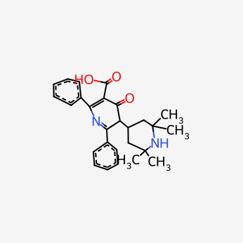 CC1(C)CC(C2C(=O)C(C(=O)O)=C(c3ccccc3)N=C2c2ccccc2)CC(C)(C)N1